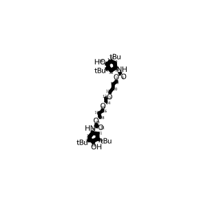 CC(C)(C)c1cc(NC(=O)OCCCCOCCOCCCOC(=O)Nc2cc(C(C)(C)C)c(O)c(C(C)(C)C)c2)cc(C(C)(C)C)c1O